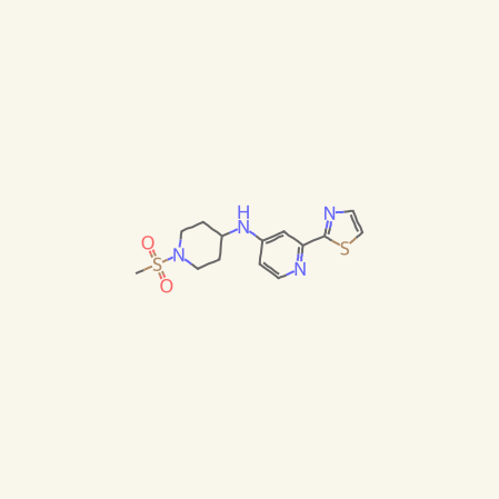 CS(=O)(=O)N1CCC(Nc2ccnc(-c3nccs3)c2)CC1